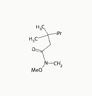 CON(C)C(=O)CC(C)(C)C(C)C